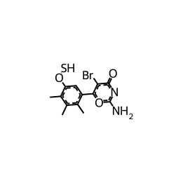 Cc1c(OS)cc(-c2oc(N)nc(=O)c2Br)c(C)c1C